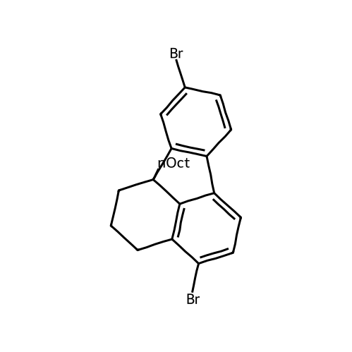 CCCCCCCCC12CCCc3c(Br)ccc(c31)-c1ccc(Br)cc12